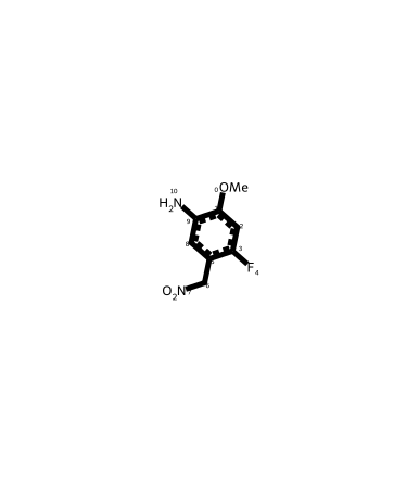 COc1cc(F)c(C[N+](=O)[O-])cc1N